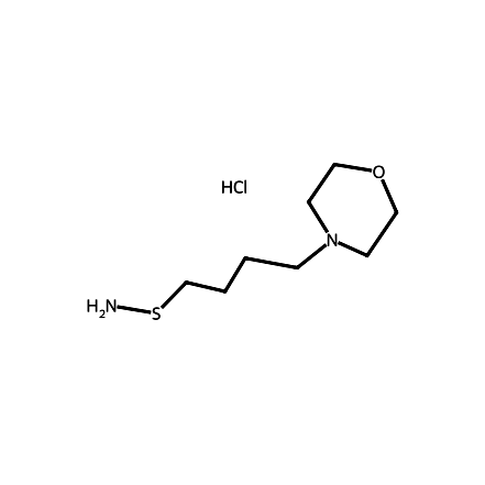 Cl.NSCCCCN1CCOCC1